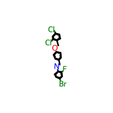 Fc1cc(Br)ccc1/N=C/c1ccc(OCc2ccc(Cl)cc2Cl)cc1